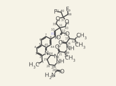 CCc1ccc2ccc(/C=C/C3(C(=O)OC(C(=O)N[C@@H](C)C(=O)N4CCC[C@@H](C(N)=O)N4)C(C)C)COC(CF)(CF)OC3)cc2n1